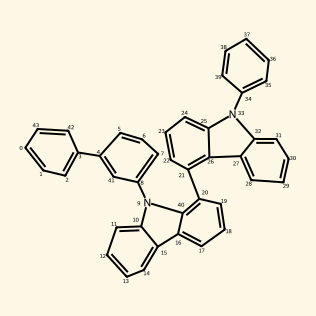 c1ccc(-c2cccc(-n3c4ccccc4c4cccc(-c5cccc6c5c5ccccc5n6-c5ccccc5)c43)c2)cc1